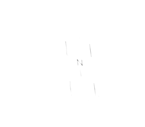 [CH]1CCCC(N2CCCCC2)C1